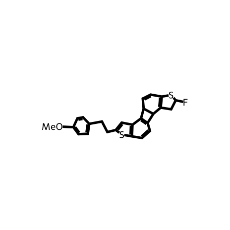 COc1ccc(CCc2cc3c4c(ccc3s2)C2C3=C(C=CC42)SC(F)C3)cc1